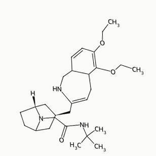 CCOC1=C(OCC)C2CC=C(C[C@H]3CC4CC[C@H](C3)N4CC(=O)NC(C)(C)C)NCC2C=C1